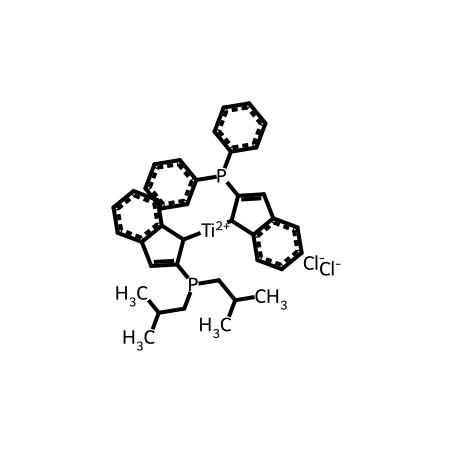 CC(C)CP(CC(C)C)C1=Cc2ccccc2[CH]1[Ti+2][CH]1C(P(c2ccccc2)c2ccccc2)=Cc2ccccc21.[Cl-].[Cl-]